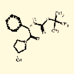 CC(C)(C)OC(=O)N[C@H](C(=O)N1CC[C@@H](O)C1)c1ccccc1